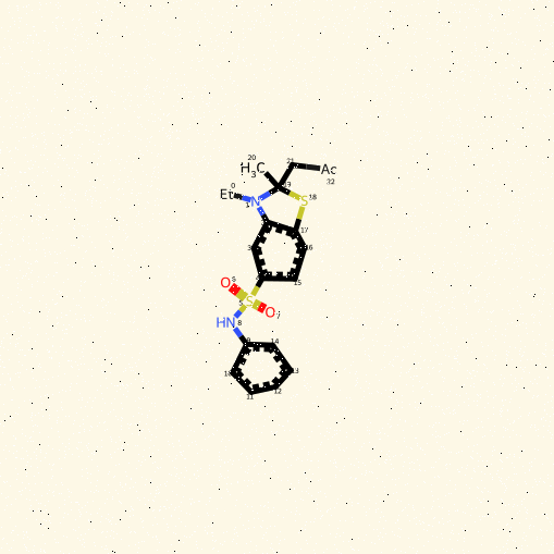 CCN1c2cc(S(=O)(=O)Nc3ccccc3)ccc2SC1(C)CC(C)=O